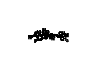 CC(C)(O)CCn1cc(S(=O)(=O)Nc2ccc(F)c3c(C#N)c[nH]c23)cn1